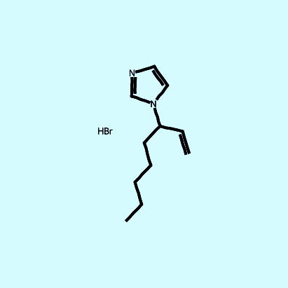 Br.C=CC(CCCCC)n1ccnc1